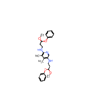 CCOC(CCNc1cnc(NCCC(OCC)Oc2ccccc2)c(C#N)c1C)Oc1ccccc1